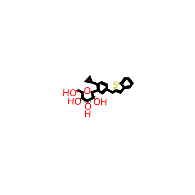 OCC1OC(c2cc(Cc3cc4ccccc4s3)ccc2C2CC2)[C@H](O)[C@@H](O)[C@@H]1O